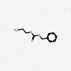 NCCOC(=O)OCc1ccccc1